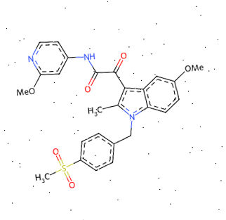 COc1ccc2c(c1)c(C(=O)C(=O)Nc1ccnc(OC)c1)c(C)n2Cc1ccc(S(C)(=O)=O)cc1